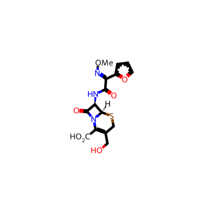 CON=C(C(=O)N[C@@H]1C(=O)N2C(C(=O)O)=C(CO)CS[C@H]12)c1ccco1